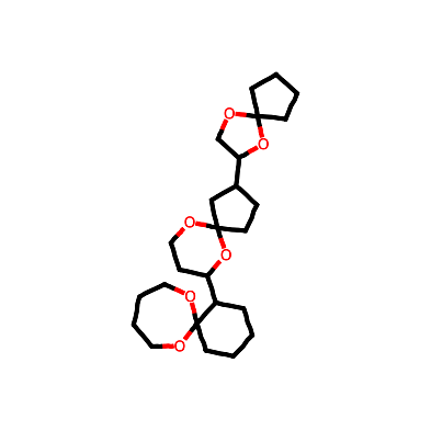 C1CCOC2(CCCCC2C2CCOC3(CCC(C4COC5(CCCC5)O4)C3)O2)OC1